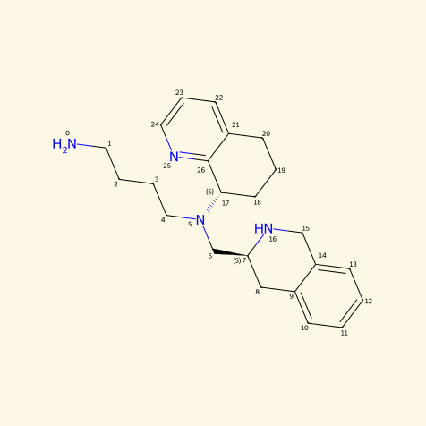 NCCCCN(C[C@@H]1Cc2ccccc2CN1)[C@H]1CCCc2cccnc21